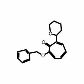 O=c1c(OCc2ccccc2)ccccc1C1CCCCO1